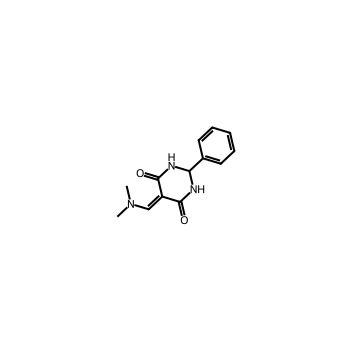 CN(C)C=C1C(=O)NC(c2ccccc2)NC1=O